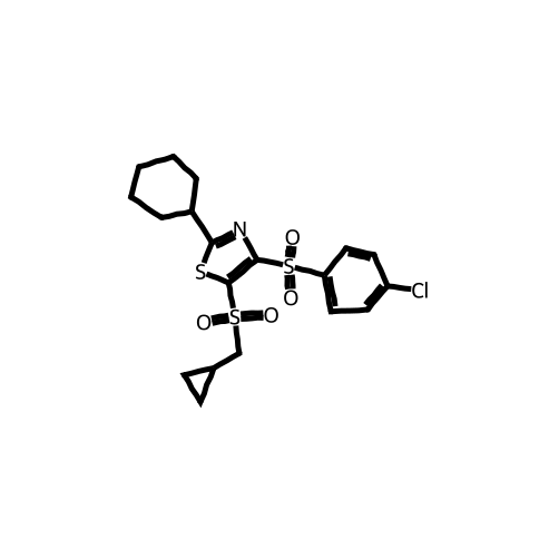 O=S(=O)(CC1CC1)c1sc(C2CCCCC2)nc1S(=O)(=O)c1ccc(Cl)cc1